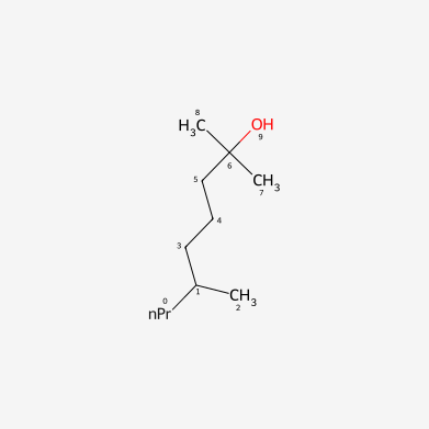 C[CH]CC(C)CCCC(C)(C)O